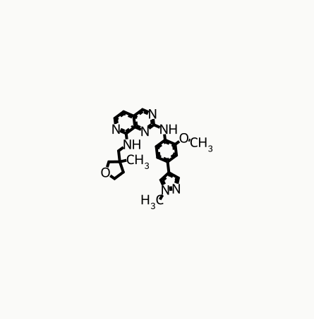 COc1cc(-c2cnn(C)c2)ccc1Nc1ncc2ccnc(NCC3(C)CCOC3)c2n1